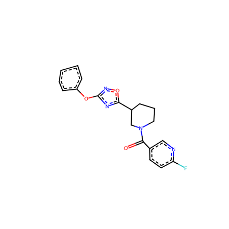 O=C(c1ccc(F)nc1)N1CCCC(c2nc(Oc3ccccc3)no2)C1